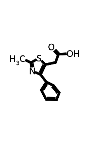 Cc1nc(-c2ccccc2)c(CC(=O)O)s1